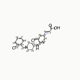 O=C(O)/C=C/c1cnc(NC2CCN(Cc3ccccc3Cl)CC2)c(Cl)c1